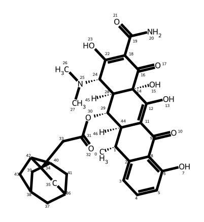 C[C@H]1c2cccc(O)c2C(=O)C2=C(O)[C@]3(O)C(=O)C(C(N)=O)=C(O)[C@@H](N(C)C)[C@@H]3[C@@H](OC(=O)CC3CC4CC5CC(C4)C3C5)[C@@H]21